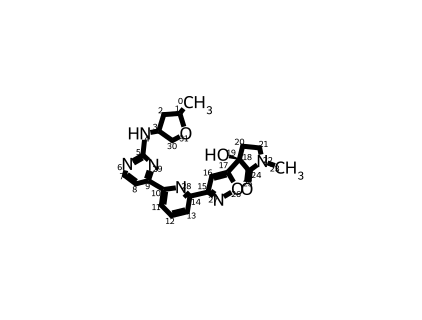 CC1CC(Nc2nccc(-c3cccc(-c4cc([C@]5(O)CCN(C)C5=O)on4)n3)n2)CO1